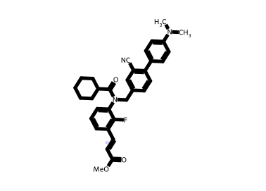 COC(=O)/C=C/c1cccc(N(Cc2ccc(-c3ccc(N(C)C)cc3)c(C#N)c2)C(=O)C2CCCCC2)c1F